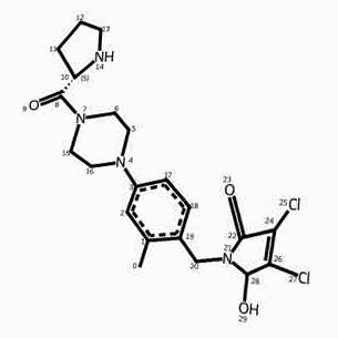 Cc1cc(N2CCN(C(=O)[C@@H]3CCCN3)CC2)ccc1CN1C(=O)C(Cl)=C(Cl)C1O